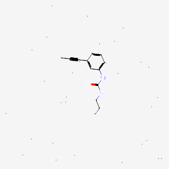 CC#Cc1cccc(NC(=O)NCCCl)c1